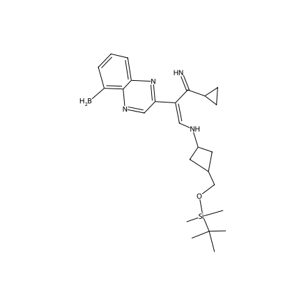 Bc1cccc2nc(/C(=C/NC3CC(CO[Si](C)(C)C(C)(C)C)C3)C(=N)C3CC3)cnc12